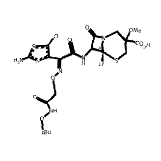 COC1(C(=O)O)CS[C@@H]2C(NC(=O)C(=NOCC(=O)NOC(C)(C)C)c3nc(N)sc3Cl)C(=O)N2C1